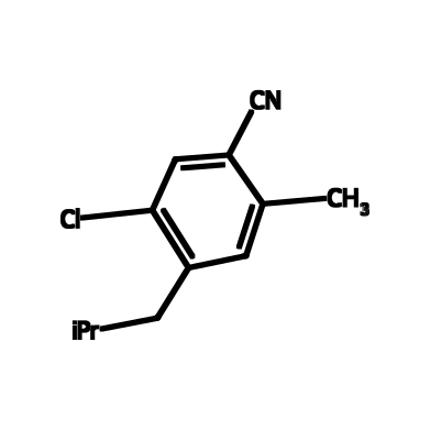 Cc1cc(CC(C)C)c(Cl)cc1C#N